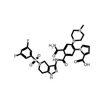 CN1CCN(c2cc(C(N)=O)c(C(=O)Nc3n[nH]c4c3CN(S(=O)(=O)c3cc(F)cc(F)c3)CC4)cc2-n2cccc2C(=O)O)CC1